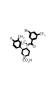 Cc1cc([C@@H]2CN(C(=O)O)CC[C@H]2N(C)C(=O)c2cc(Br)cc(C(F)(F)F)c2)ccc1F